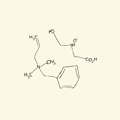 C=CC[N+](C)(C)Cc1ccccc1.O=C(O)CNCO.[Cl-]